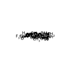 CC[C@H](C)[C@@H]([C@H](CC(=O)N1CCC[C@H]1[C@H](OC)[C@@H](C)C(=O)NS(=O)(=O)Cc1ccc(CNC(=O)C(F)(F)F)cc1)OC)N(C)C(=O)[C@@H](NC(=O)[C@H](C(C)C)N(C)C)C(C)C